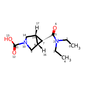 CCN(CC)C(=O)[C@@H]1[C@@H]2CN(C(=O)O)C[C@@H]21